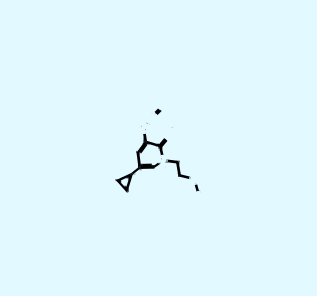 COCCn1cc(C2CC2)cc(N=C=S)c1=O